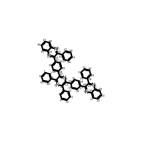 c1ccc(-c2nc(-c3ccccc3)c(-c3ccc(-c4nc5ccccc5nc4-c4ccccc4)cc3)nc2-c2ccc(-c3nc4ccccc4nc3-c3ccccc3)cc2)cc1